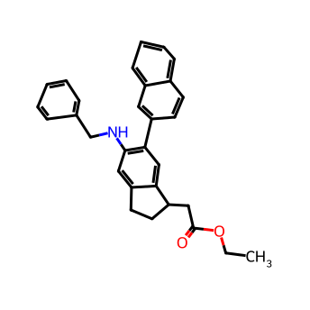 CCOC(=O)CC1CCc2cc(NCc3ccccc3)c(-c3ccc4ccccc4c3)cc21